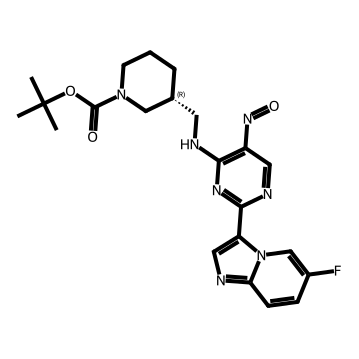 CC(C)(C)OC(=O)N1CCC[C@H](CNc2nc(-c3cnc4ccc(F)cn34)ncc2N=O)C1